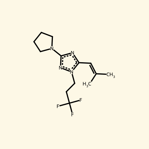 CC(C)=Cc1nc(N2CCCC2)nn1CCC(F)(F)F